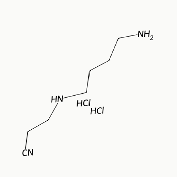 Cl.Cl.N#CCCNCCCCN